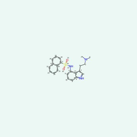 CN(C)CCc1c[nH]c2cccc(NS(=O)(=O)c3cccc4ccccc34)c12